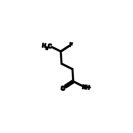 CC(F)CCC([NH])=O